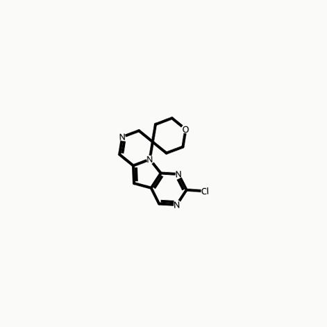 Clc1ncc2cc3n(c2n1)C1(CCOCC1)CN=C3